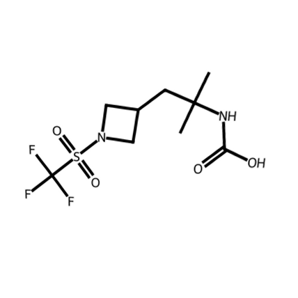 CC(C)(CC1CN(S(=O)(=O)C(F)(F)F)C1)NC(=O)O